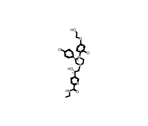 CCNC(=O)c1ccc([C@H](O)CN2CCN(c3ccc(OCCO)cc3Cl)[C@H](c3ccc(Cl)cc3)C2)cn1